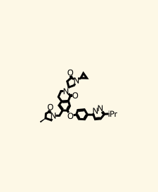 CC(C)c1ccc(-c2ccc(Oc3cc4c(cc3CN3C[C@@H](C)CC3=O)CCN(C3CC(=O)N(C5CC5)C3)C4=O)cc2)nn1